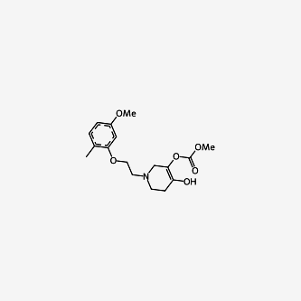 COC(=O)OC1=C(O)CCN(CCOc2cc(OC)ccc2C)C1